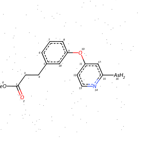 COC(=O)CCc1cccc(Oc2ccnc([AsH2])c2)c1